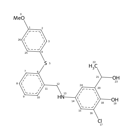 COc1ccc(Sc2ccccc2CNc2cc(Cl)c(O)c(C(C)O)c2)cc1